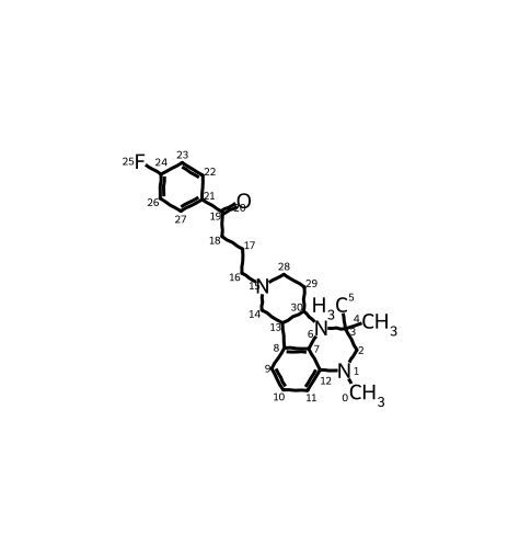 CN1CC(C)(C)N2c3c(cccc31)C1CN(CCCC(=O)c3ccc(F)cc3)CCC12